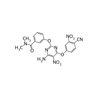 CN(C)C(=O)c1cccc(Oc2nc(N)c([N+](=O)[O-])c(Oc3ccc(C#N)c([N+](=O)[O-])c3)n2)c1